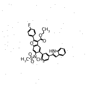 CCOC(=O)c1c(-c2ccc(F)cc2)oc2cc(N(C)S(C)(=O)=O)c(-c3cccc(-c4cc5ccccc5[nH]4)c3)cc12